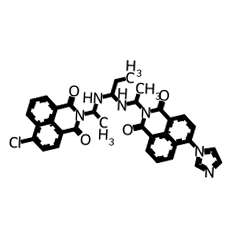 CCC(NC(C)N1C(=O)c2cccc3c(Cl)ccc(c23)C1=O)NC(C)N1C(=O)c2cccc3c(-n4ccnc4)ccc(c23)C1=O